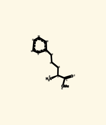 COC(=O)[C@@H](N)CCCc1ccccc1